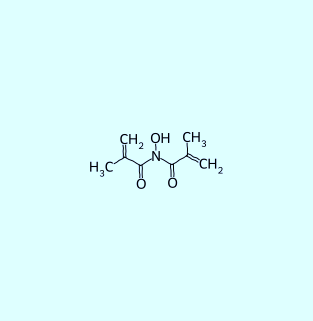 C=C(C)C(=O)N(O)C(=O)C(=C)C